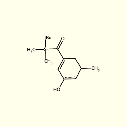 CC1C=C(O)C=C(C(=O)[Si](C)(C)C(C)(C)C)C1